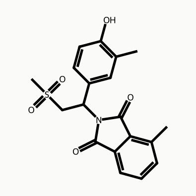 Cc1cc(C(CS(C)(=O)=O)N2C(=O)c3cccc(C)c3C2=O)ccc1O